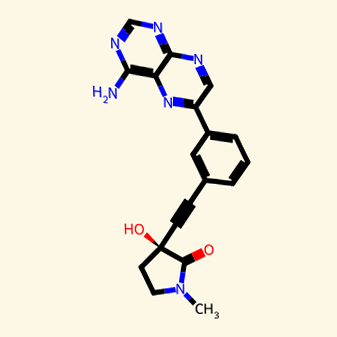 CN1CC[C@](O)(C#Cc2cccc(-c3cnc4ncnc(N)c4n3)c2)C1=O